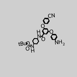 CC(C)(C)OC(=O)NC1CCC(NC(=O)c2cc(Oc3ccc(N)cc3)cc(Oc3ccc(C#N)cc3)c2)CC1